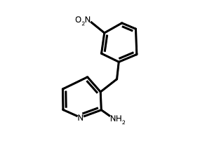 Nc1ncccc1Cc1cccc([N+](=O)[O-])c1